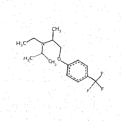 CCN(C(C)C)C(C)COc1ccc(C(F)(F)F)cc1